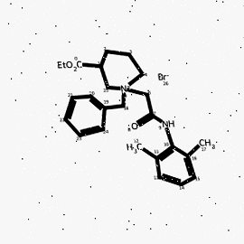 CCOC(=O)C1CCC[N+](CC(=O)Nc2c(C)cccc2C)(Cc2ccccc2)C1.[Br-]